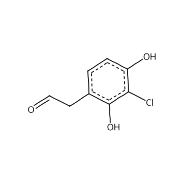 O=CCc1ccc(O)c(Cl)c1O